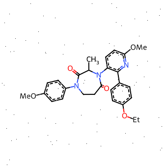 CCOc1ccc(-c2nc(OC)ccc2N2C(=O)CCN(c3ccc(OC)cc3)C(=O)C2C)cc1